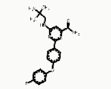 CC(C)(N)CNc1cc(C(N)=O)nc(-c2ccc(Oc3ccc(F)cc3)cc2)n1